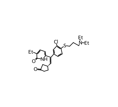 CCc1ccc(/C(=C\[C@H]2CCC(=O)C2)c2ccc(SCCCN(CC)CC)c(Cl)c2)[nH]c1=O